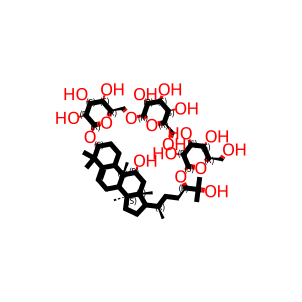 C[C@H](CC[C@@H](O[C@@H]1O[C@H](CO)[C@@H](O)[C@H](O)[C@H]1O)C(C)(C)O)C1CC[C@@]2(C)C3CC=C4C(CC[C@H](O[C@@H]5O[C@H](CO[C@@H]6O[C@H](CO)[C@@H](O)[C@H](O)[C@H]6O)[C@@H](O)[C@H](O)[C@H]5O)C4(C)C)[C@]3(C)[C@H](O)C[C@]12C